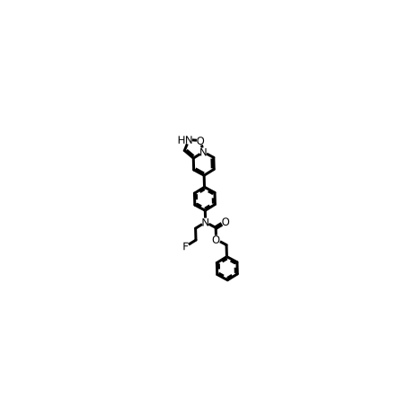 O=C(OCc1ccccc1)N(CCF)c1ccc(C2=CC3=CNON3C=C2)cc1